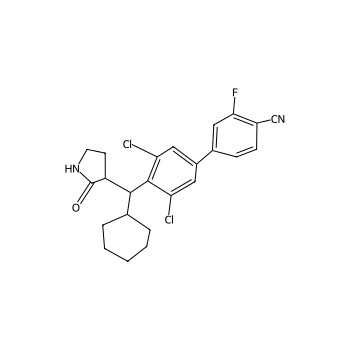 N#Cc1ccc(-c2cc(Cl)c(C(C3CCCCC3)C3CCNC3=O)c(Cl)c2)cc1F